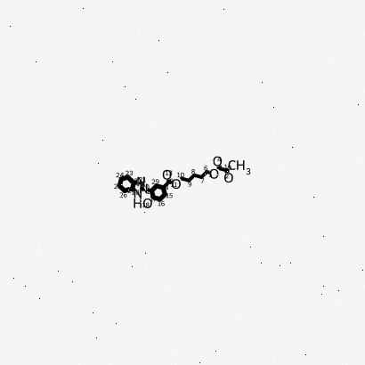 CC(=O)C(=O)OCCCCCOC(=O)c1ccc(O)c(-n2nc3ccccc3n2)c1